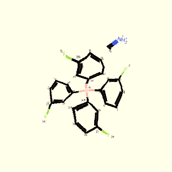 C=[NH2+].Fc1cccc([B-](c2cccc(F)c2)(c2cccc(F)c2)c2cccc(F)c2)c1